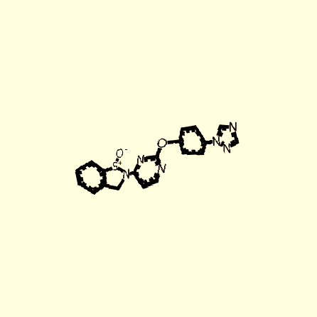 [O-][S+]1c2ccccc2CN1c1ccnc(Oc2ccc(-n3cncn3)cc2)n1